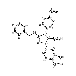 COc1ccc([C@@H]2[C@@H](C(=O)O)C(c3ccc4c(c3)OCO4)CN2CCc2ccccn2)cc1